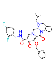 CC(C)CN1CC2CCCC2N2C(=O)c3c(OCc4ccccc4)c(=O)c(C(=O)NCc4ccc(F)cc4F)cn3CC12